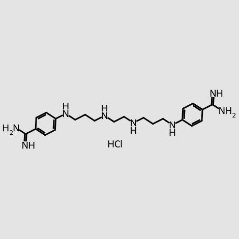 Cl.N=C(N)c1ccc(NCCCNCCNCCCNc2ccc(C(=N)N)cc2)cc1